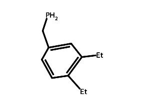 CCc1ccc(CP)cc1CC